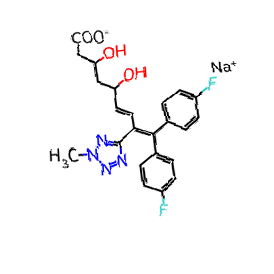 Cn1nnc(C(/C=C/C(O)CC(O)CC(=O)[O-])=C(c2ccc(F)cc2)c2ccc(F)cc2)n1.[Na+]